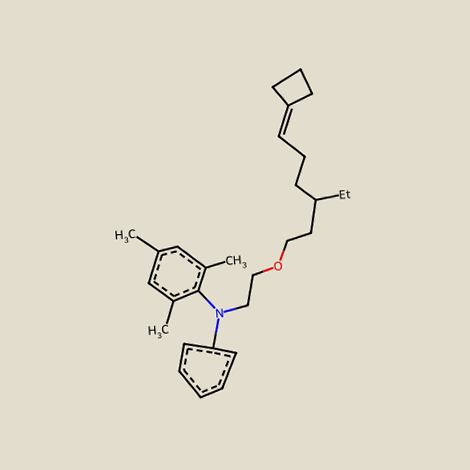 CCC(CCC=C1CCC1)CCOCCN(c1ccccc1)c1c(C)cc(C)cc1C